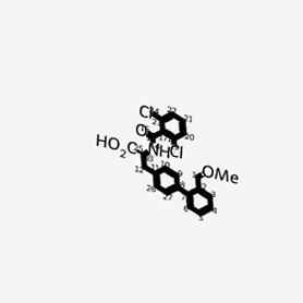 COCc1ccccc1-c1ccc(C[C@H](NC(=O)c2c(Cl)cccc2Cl)C(=O)O)cc1